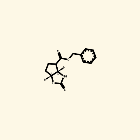 O=C1N[C@H]2C(C(=O)OCc3ccccc3)CC[C@H]2O1